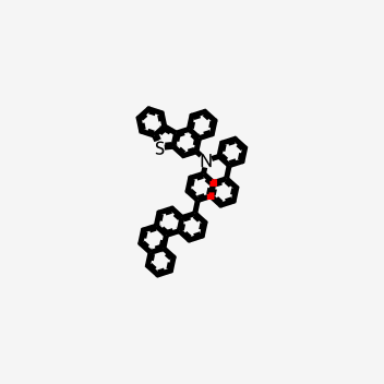 c1ccc(-c2ccccc2N(c2ccc(-c3cccc4c3ccc3ccc5ccccc5c34)cc2)c2cc3sc4ccccc4c3c3ccccc23)cc1